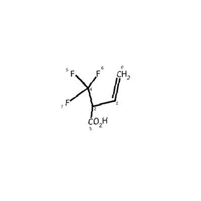 C=CC(C(=O)O)C(F)(F)F